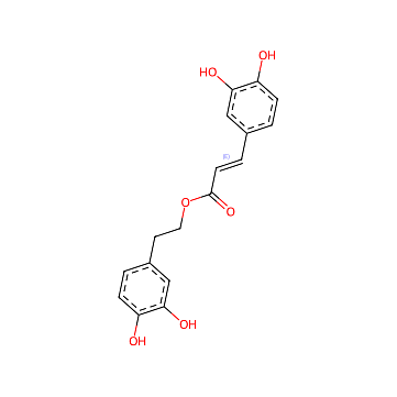 O=C(/C=C/c1ccc(O)c(O)c1)OCCc1ccc(O)c(O)c1